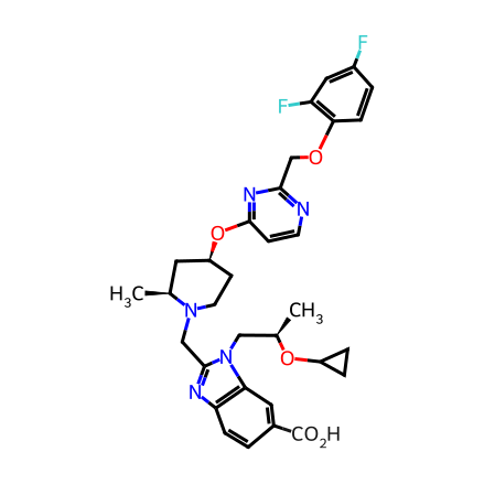 C[C@H](Cn1c(CN2CC[C@H](Oc3ccnc(COc4ccc(F)cc4F)n3)C[C@@H]2C)nc2ccc(C(=O)O)cc21)OC1CC1